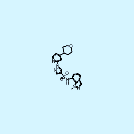 Cn1ncc2cccc(NS(=O)(=O)c3cnn(-c4cc(C5CCOCC5)ccn4)c3)c21